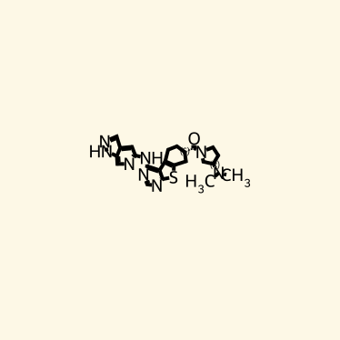 CN(C)[C@@H]1CCN(C(=O)[C@H]2CCc3c(sc4ncnc(Nc5cc6cn[nH]c6cn5)c34)C2)C1